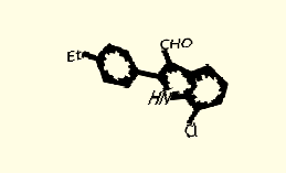 CCc1ccc(-c2[nH]c3c(Cl)cccc3c2C=O)cc1